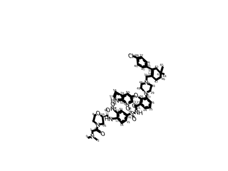 CN(C)CC(=O)N1CCO[C@@H](CNc2ccc(S(=O)(=O)NC(=O)c3cccc(N4CCN(CC5=C(c6ccc(Cl)cc6)CC(C)(C)CC5)CC4)c3Oc3cnc4[nH]ccc4c3)cc2[N+](=O)[O-])C1